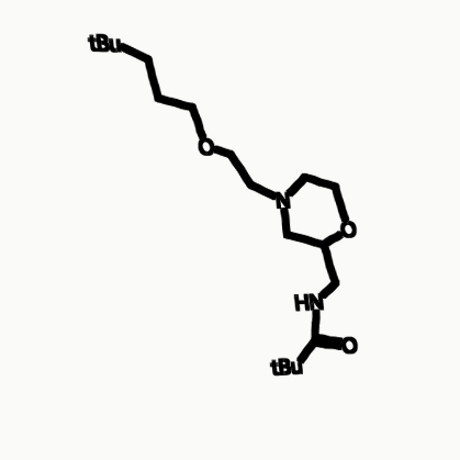 CC(C)(C)CCCOCCN1CCOC(CNC(=O)C(C)(C)C)C1